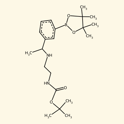 CC(NCCNC(=O)OC(C)(C)C)c1cccc(B2OC(C)(C)C(C)(C)O2)c1